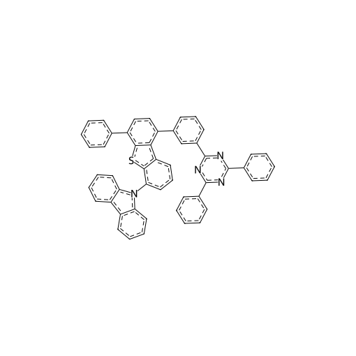 c1ccc(-c2nc(-c3ccccc3)nc(-c3cccc(-c4ccc(-c5ccccc5)c5sc6c(-n7c8ccccc8c8ccccc87)cccc6c45)c3)n2)cc1